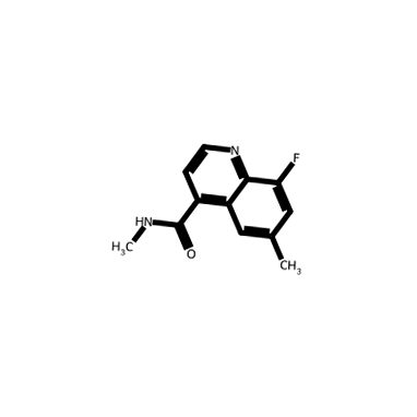 CNC(=O)c1ccnc2c(F)cc(C)cc12